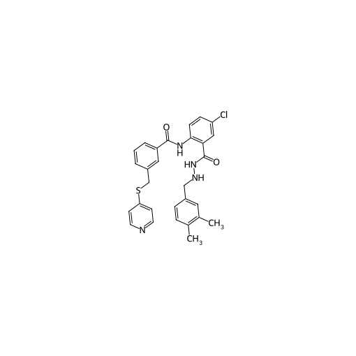 Cc1ccc(CNNC(=O)c2cc(Cl)ccc2NC(=O)c2cccc(CSc3ccncc3)c2)cc1C